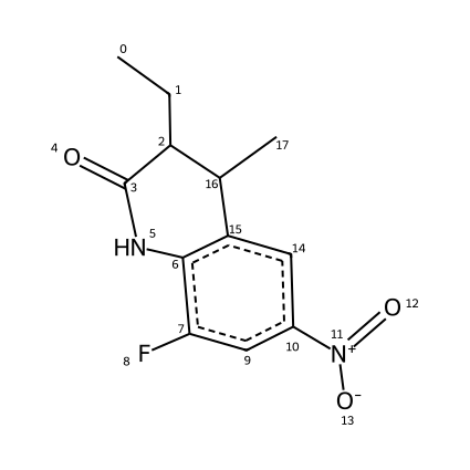 CCC1C(=O)Nc2c(F)cc([N+](=O)[O-])cc2C1C